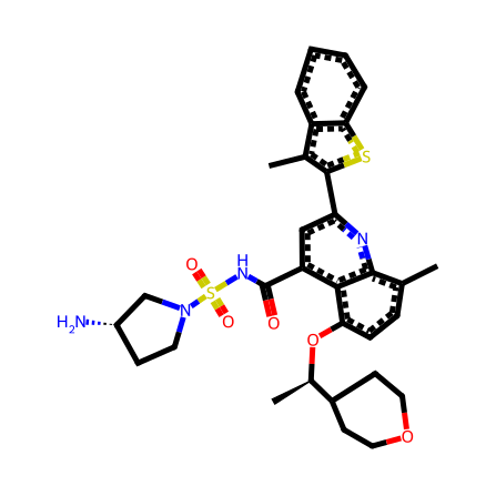 Cc1c(-c2cc(C(=O)NS(=O)(=O)N3CC[C@H](N)C3)c3c(O[C@H](C)C4CCOCC4)ccc(C)c3n2)sc2ccccc12